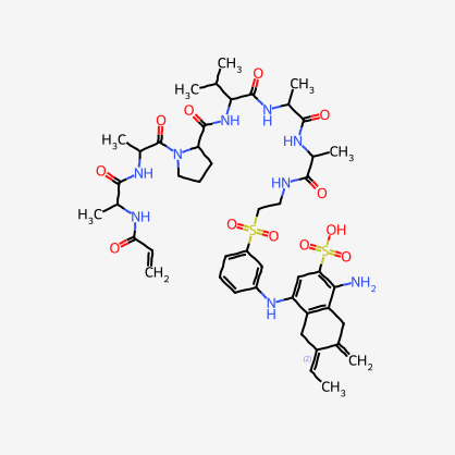 C=CC(=O)NC(C)C(=O)NC(C)C(=O)N1CCCC1C(=O)NC(C(=O)NC(C)C(=O)NC(C)C(=O)NCCS(=O)(=O)c1cccc(Nc2cc(S(=O)(=O)O)c(N)c3c2C/C(=C/C)C(=C)C3)c1)C(C)C